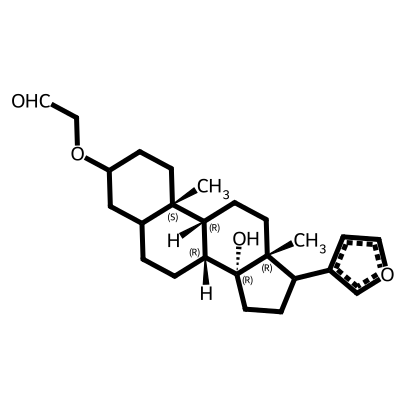 C[C@]12CCC(OCC=O)CC1CC[C@@H]1[C@H]2CC[C@]2(C)C(c3ccoc3)CC[C@@]12O